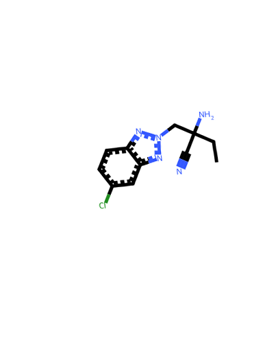 CCC(N)(C#N)Cn1nc2ccc(Cl)cc2n1